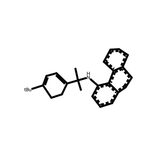 CC(C)(C)C1=CC=C(C(C)(C)Nc2cccc3ccc4ccccc4c23)CC1